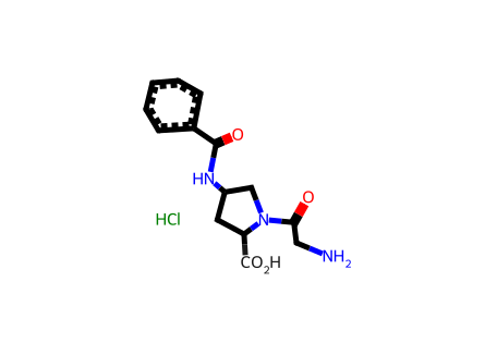 Cl.NCC(=O)N1CC(NC(=O)c2ccccc2)CC1C(=O)O